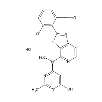 Cc1nc(O)cc(N(C)c2nccc3nc(-c4c(Cl)cccc4C#N)sc23)n1.Cl